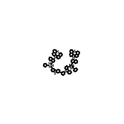 c1ccc(-c2nc(-c3ccc4sc5cc(-c6cccc(-n7c8ccccc8c8c(-c9nc(-c%10ccccc%10)nc(-c%10ccc(-n%11c%12ccc%13cccc%14sc%15cccc%16ccc%11c(c%16%15)c%12c%13%14)c%11ccccc%10%11)n9)cccc87)c6)ccc5c4c3)nc(-c3ccc(-n4c5ccc6cccc7sc8cccc9ccc4c(c98)c5c67)c4ccccc34)n2)cc1